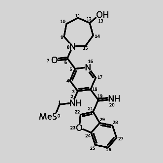 CSCNc1cc(C(=O)N2CCCC(O)CC2)ncc1C(=N)c1coc2ccccc12